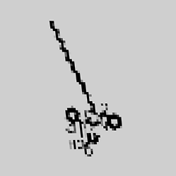 CCCCCCCCCCCCCCCCCCn1c(C(C(=O)Nc2ccccc2OC)n2ccc(C(=O)O)c2)nc2ccccc2c1=O